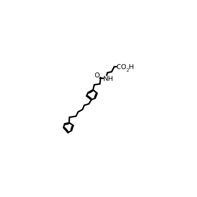 O=C(O)CCCNC(=O)CCc1ccc(CCCCCCc2ccccc2)cc1